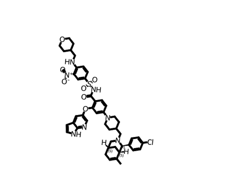 CC1=CC[C@H]2C[C@@H]1[C@H](c1ccc(Cl)cc1)N(CC1CCN(c3ccc(C(=O)NS(=O)(=O)c4ccc(NCC5CCOCC5)c([N+](=O)[O-])c4)c(Oc4cnc5[nH]ccc5c4)c3)CC1)C2